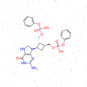 Nc1nc2c(c(=O)[nH]1)NCN2[C@@H]1C[C@H](COP(=O)(O)Oc2ccccc2)[C@H]1COP(=O)(O)Oc1ccccc1